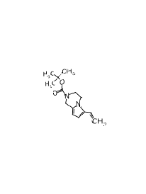 C=Cc1ccc2n1CCN(C(=O)OC(C)(C)C)C2